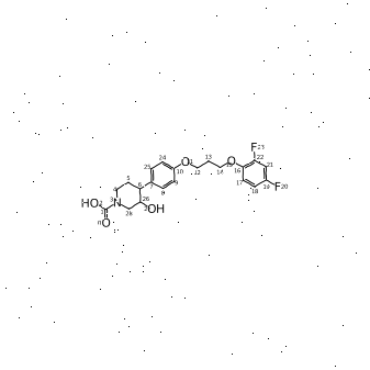 O=C(O)N1CCC(c2ccc(OCCCOc3ccc(F)cc3F)cc2)C(O)C1